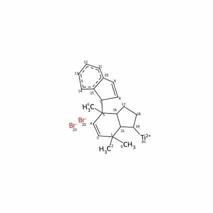 CC1(C)C=CC(C)(C2C=Cc3ccccc32)C2CC[CH]([Ti+2])C21.[Br-].[Br-]